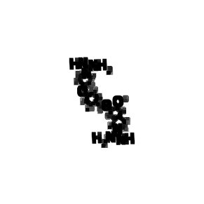 COc1cc2c(cc1OCc1ccc(OC3CCN(C(=N)N)CC3)cc1)CN(C(=N)N)CC2